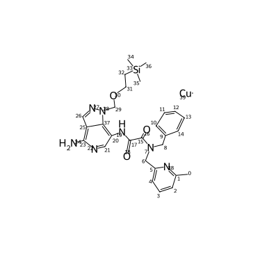 Cc1cccc(CN(Cc2ccccc2)C(=O)C(=O)Nc2cnc(N)c3cnn(COCC[Si](C)(C)C)c23)n1.[Cu]